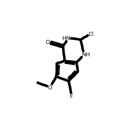 COc1cc2c(cc1F)NC(Cl)NC2=O